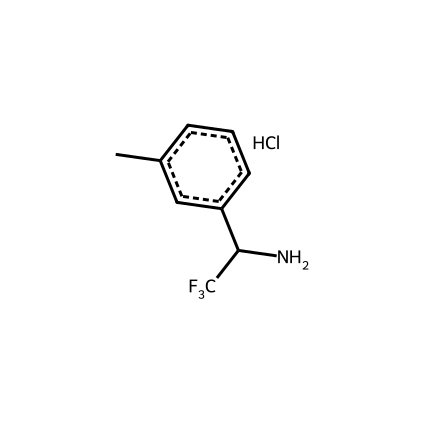 Cc1cccc(C(N)C(F)(F)F)c1.Cl